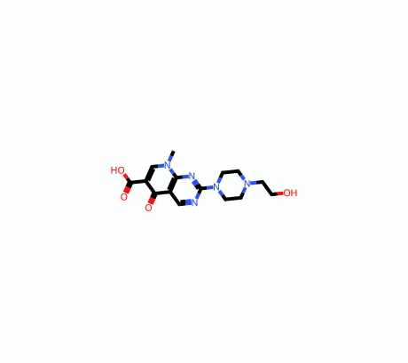 Cn1cc(C(=O)O)c(=O)c2cnc(N3CCN(CCO)CC3)nc21